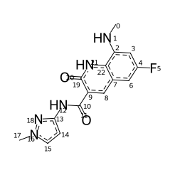 CNc1cc(F)cc2cc(C(=O)Nc3ccn(C)n3)c(=O)[nH]c12